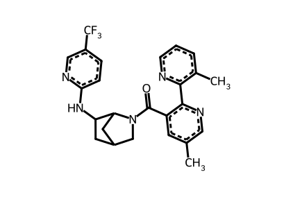 Cc1cnc(-c2ncccc2C)c(C(=O)N2CC3CC(Nc4ccc(C(F)(F)F)cn4)C2C3)c1